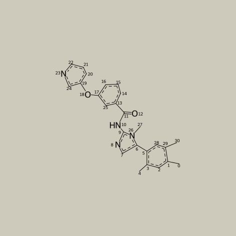 Cc1cc(C)c(-c2cnc(NC(=O)c3cccc(Oc4cccnc4)c3)n2C)cc1C